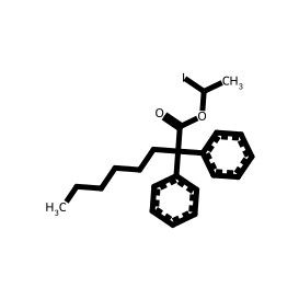 CCCCCCC(C(=O)OC(C)I)(c1ccccc1)c1ccccc1